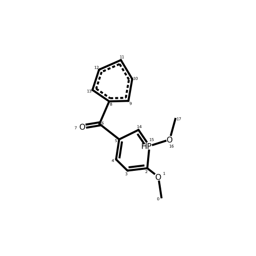 COC1=CC=C(C(=O)c2ccccc2)C=[PH]1OC